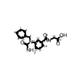 NC(=O)N(Cc1ccccc1)c1cccc(C(=O)NCC(=O)O)c1